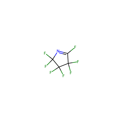 FC1=NC(F)(F)C(F)(F)C1(F)F